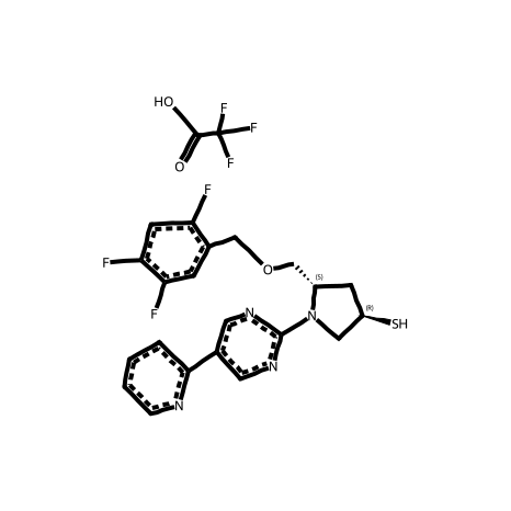 Fc1cc(F)c(COC[C@@H]2C[C@@H](S)CN2c2ncc(-c3ccccn3)cn2)cc1F.O=C(O)C(F)(F)F